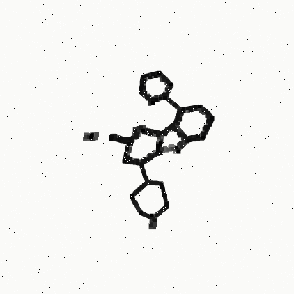 Cl.O=c1cc(C2CCNCC2)n2nc3cccc(-c4ccccn4)c3c2[nH]1